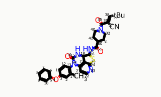 Cc1cc(Oc2ccccc2)ccc1N1C(=O)NC2c3c1ccnc3SC2NC(=O)C1CCN(C(=O)/C(C#N)=C/C(C)(C)C)CC1